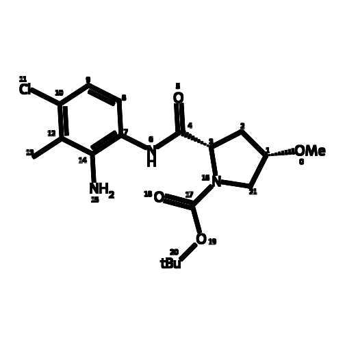 CO[C@H]1C[C@@H](C(=O)Nc2ccc(Cl)c(C)c2N)N(C(=O)OC(C)(C)C)C1